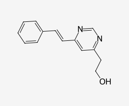 OCCc1cc(C=Cc2ccccc2)ncn1